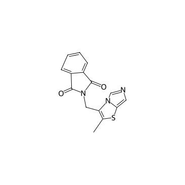 Cc1sc2cncn2c1CN1C(=O)c2ccccc2C1=O